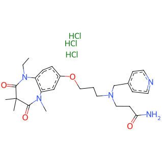 CCN1C(=O)C(C)(C)C(=O)N(C)c2cc(OCCCN(CCC(N)=O)Cc3ccncc3)ccc21.Cl.Cl.Cl